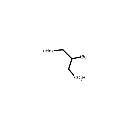 CCCCCCCC(CC(=O)O)C(C)(C)C